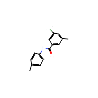 Cc1ccc(NC(=O)c2cc(C)cc(Cl)c2)cc1